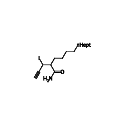 C#CC(I)C(CCCCCCCCCCC)C(N)=O